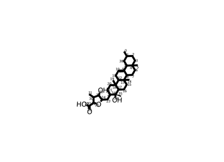 CC1CCC2(C)CCC3C(=CCC4C3(C)CCC3C4(C)CCC(CC4OC(C(=O)O)C(C)C4O)[C@@]3(C)O)C2C1